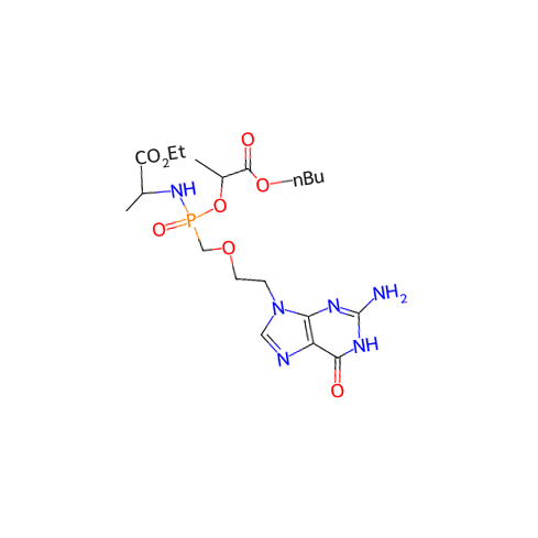 CCCCOC(=O)C(C)OP(=O)(COCCn1cnc2c(=O)[nH]c(N)nc21)NC(C)C(=O)OCC